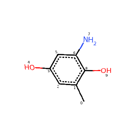 Cc1cc(O)cc(N)c1O